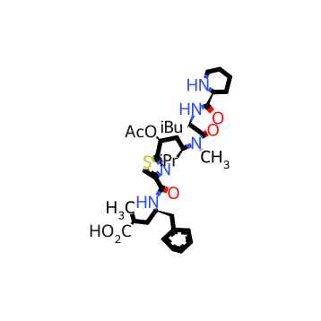 CC[C@H](C)[C@@H](NC(=O)[C@@H]1CCCCN1)C(=O)N(C)[C@H](C[C@@H](OC(C)=O)c1nc(C(=O)N[C@@H](Cc2ccccc2)C[C@H](C)C(=O)O)cs1)C(C)C